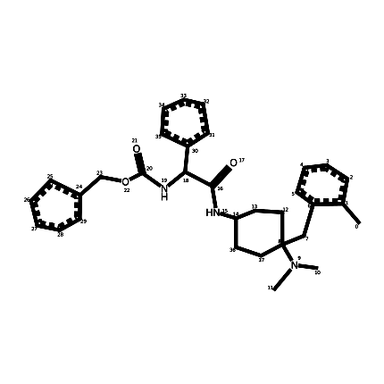 Cc1ccccc1CC1(N(C)C)CCC(NC(=O)C(NC(=O)OCc2ccccc2)c2ccccc2)CC1